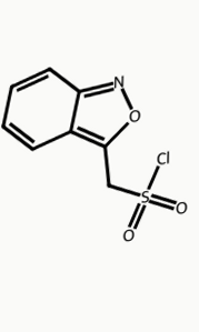 O=S(=O)(Cl)Cc1onc2ccccc12